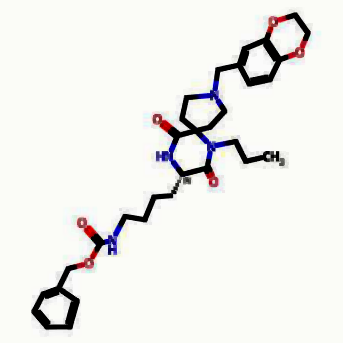 CCCN1C(=O)[C@H](CCCCNC(=O)OCc2ccccc2)NC(=O)C12CCN(Cc1ccc3c(c1)OCCO3)CC2